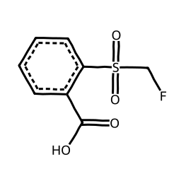 O=C(O)c1ccccc1S(=O)(=O)CF